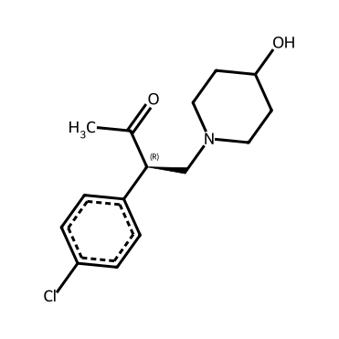 CC(=O)[C@@H](CN1CCC(O)CC1)c1ccc(Cl)cc1